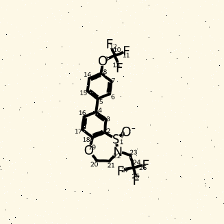 [O-][S+]1c2cc(-c3ccc(OC(F)(F)F)cc3)ccc2OCCN1CC(F)(F)F